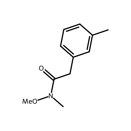 CON(C)C(=O)Cc1cccc(C)c1